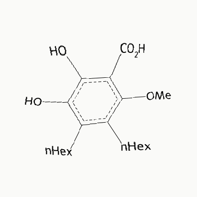 CCCCCCc1c(O)c(O)c(C(=O)O)c(OC)c1CCCCCC